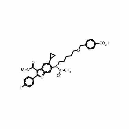 CNC(=O)c1c(-c2ccc(F)cc2)oc2cc(N(CCCCCOCc3ccc(C(=O)O)cc3)[S+](C)[O-])c(C3CC3)cc12